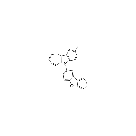 Cc1ccc2c(c1)c1c(n2-c2ccc3oc4ccccc4c3c2)C=CC=CC1